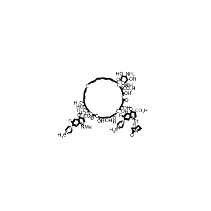 CC1/C=C/C=C/CC/C=C/C=C/C=C/C=C/C(OC2O[C@H](C)[C@@H](O)[C@H](N)[C@@H]2O)CC(O)C(C(=O)O)C(O)CC(=O)CC(O)C(O)CCC(O)CC(O)CC(O)CC(=O)OC(C)C(C)C1O.CCn1cc(C(=O)O)c(=O)c2cc(F)c(N3CCN(C)CC3)cc21.CNn1cc(C(=O)O)c(=O)c2cc(F)c(N3CCN(C)CC3)cc21.O=C1C[C@H]2CC=CN12